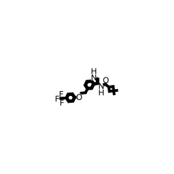 CC1(C)CC(C(=O)Nc2c[nH]c3ccc(CCOc4ccc(C(F)(F)F)cc4)cc23)C1